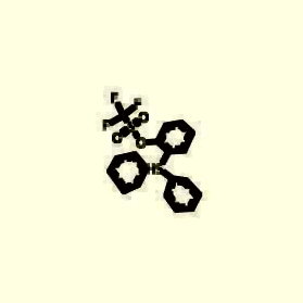 O=S(=O)(Oc1ccccc1[SH](c1ccccc1)c1ccccc1)C(F)(F)F